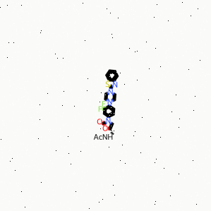 CC(=O)NC[C@H]1CN(C2=CC=C(N3CCN(c4nc5ccccc5s4)CC3)C(F)(F)C2)C(=O)O1